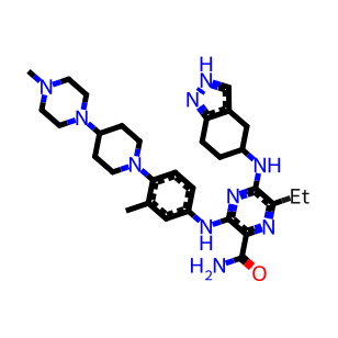 CCc1nc(C(N)=O)c(Nc2ccc(N3CCC(N4CCN(C)CC4)CC3)c(C)c2)nc1NC1CCc2n[nH]cc2C1